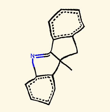 CC12Cc3ccccc3C1=Nc1ccccc12